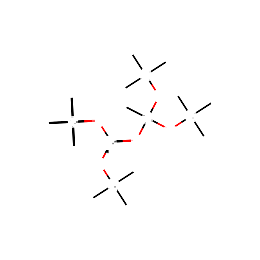 C[Si](C)(C)O[SiH](O[Si](C)(C)C)O[Si](C)(O[Si](C)(C)C)O[Si](C)(C)C